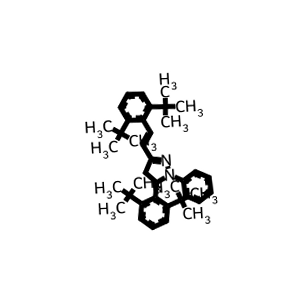 CC(C)(C)c1cccc(C(C)(C)C)c1C=CC1=NN(c2ccccc2)C(c2c(C(C)(C)C)cccc2C(C)(C)C)C1